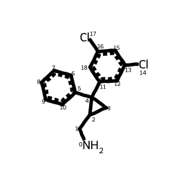 NCC1CC1(c1ccccc1)c1cc(Cl)cc(Cl)c1